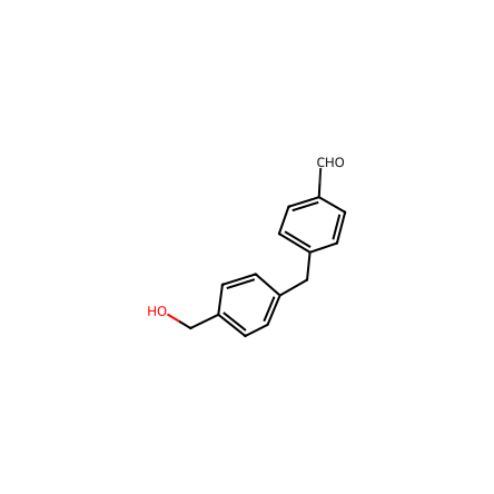 O=Cc1ccc(Cc2ccc(CO)cc2)cc1